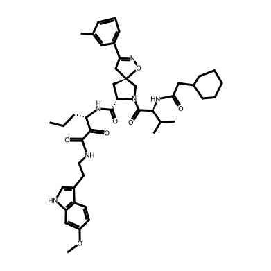 CCC[C@H](NC(=O)[C@@H]1C[C@]2(CC(c3cccc(C)c3)=NO2)CN1C(=O)[C@@H](NC(=O)CC1CCCCC1)C(C)C)C(=O)C(=O)NCCc1c[nH]c2cc(OC)ccc12